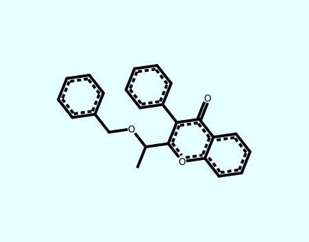 CC(OCc1ccccc1)c1oc2ccccc2c(=O)c1-c1ccccc1